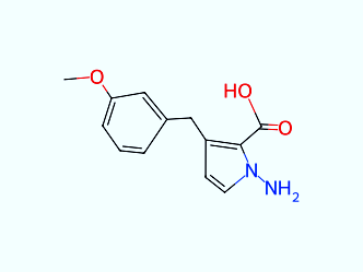 COc1cccc(Cc2ccn(N)c2C(=O)O)c1